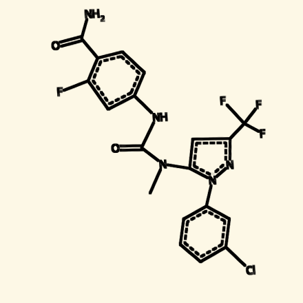 CN(C(=O)Nc1ccc(C(N)=O)c(F)c1)c1cc(C(F)(F)F)nn1-c1cccc(Cl)c1